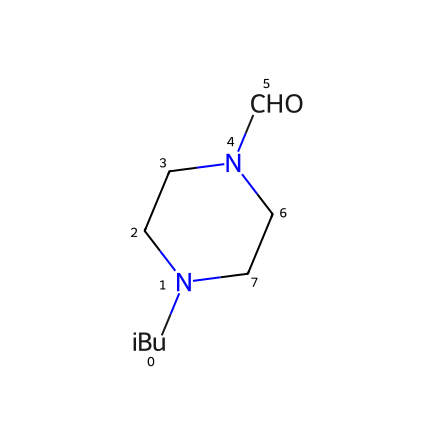 CCC(C)N1CCN(C=O)CC1